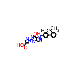 CC(C)c1ccccc1-c1ccc(Cn2ncc3nc(-n4cc(C(=O)O)cn4)nc(O)c32)cc1